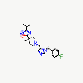 CC(C)c1noc(C2(C)CCN(Cc3cncn3[C@H](C)c3ccc(F)cc3)CC2)n1